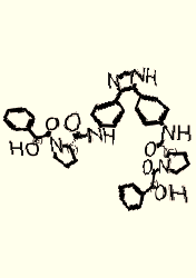 O=C(Nc1ccc(-c2nc[nH]c2-c2ccc(NC(=O)[C@@H]3CCCN3C(=O)[C@@H](O)c3ccccc3)cc2)cc1)[C@@H]1CCCN1C(=O)[C@@H](O)c1ccccc1